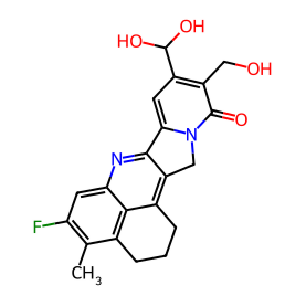 Cc1c(F)cc2nc3c(c4c2c1CCC4)Cn1c-3cc(C(O)O)c(CO)c1=O